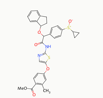 COC(=O)c1ccc(Oc2cnc(NC(=O)C(OC3CCc4ccccc43)c3ccc([S+]([O-])C4CC4)cc3)s2)cc1C